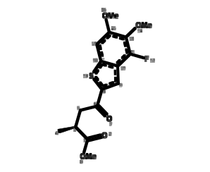 COC(=O)[C@@H](C)CC(=O)c1cc2c(F)c(OC)c(OC)cc2s1